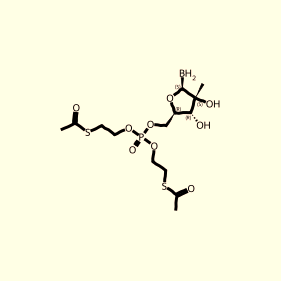 B[C@@H]1O[C@H](COP(=O)(OCCSC(C)=O)OCCSC(C)=O)[C@@H](O)[C@@]1(C)O